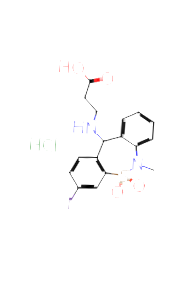 CN1c2ccccc2C(NCCC(=O)O)c2ccc(I)cc2S1(=O)=O.Cl